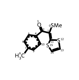 CSC(C(=O)c1ccc(C)cc1)=C1SC=CS1